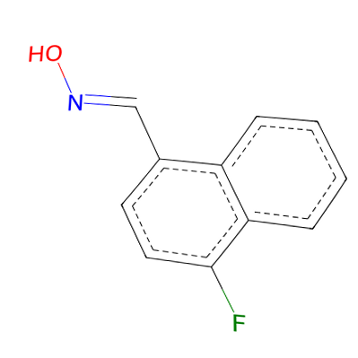 ON=Cc1ccc(F)c2ccccc12